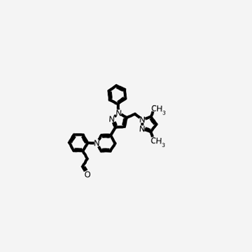 Cc1cc(C)n(Cc2cc(C3=CN(c4ccccc4CC=O)C=CC3)nn2-c2ccccc2)n1